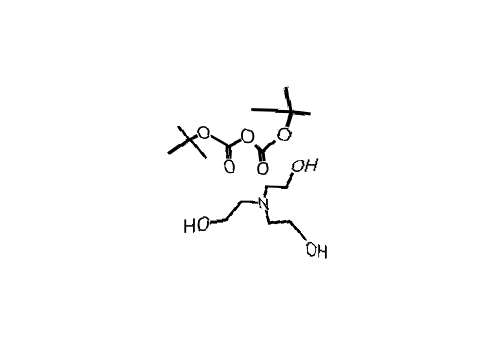 CC(C)(C)OC(=O)OC(=O)OC(C)(C)C.OCCN(CCO)CCO